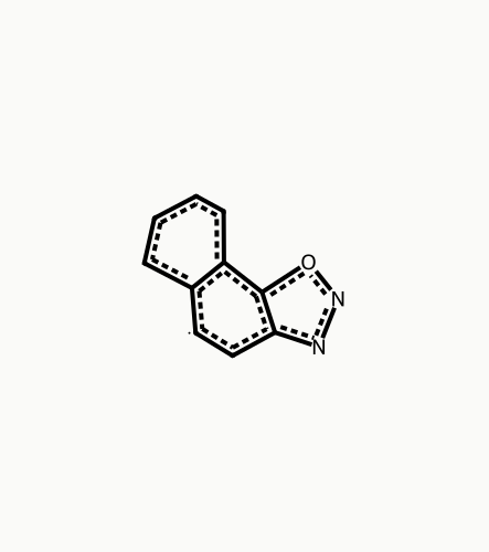 [c]1cc2nnoc2c2ccccc12